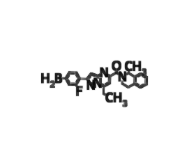 Bc1ccc(-c2cc3nc(C(=O)N4CCc5ccccc5C4C)cc(CC)n3n2)c(F)c1